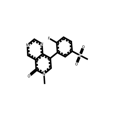 Cn1cc(-c2cc(S(C)(=O)=O)ccc2F)c2ncncc2c1=O